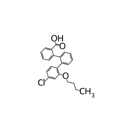 CCCCOc1cc(Cl)ccc1-c1ccccc1-c1ccccc1C(=O)O